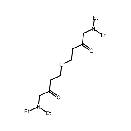 CCN(CC)CC(=O)CCOCCC(=O)CN(CC)CC